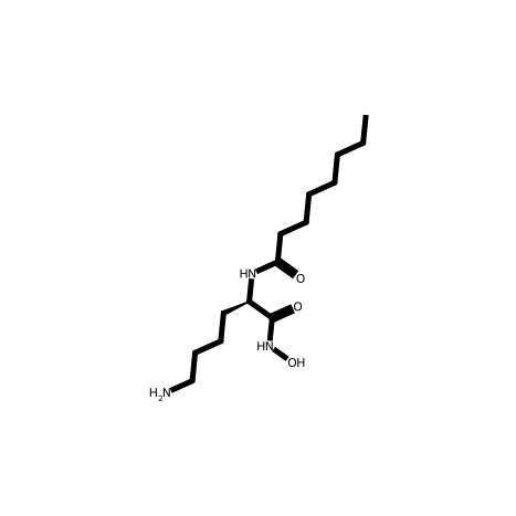 CCCCCCCC(=O)N[C@H](CCCCN)C(=O)NO